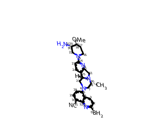 Bc1ccc2c(N3C[C@@H](C)N4Cc5nc(N6CC[C@@H](OC)[C@H](N)C6)ccc5[C@H]4C3)ccc(C#N)c2n1